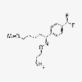 COCCCCC(=NOCCN)c1ccc(C(F)F)cc1